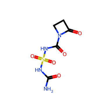 NC(=O)NS(=O)(=O)NC(=O)N1CCC1=O